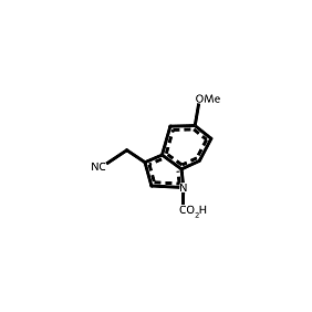 COc1ccc2c(c1)c(CC#N)cn2C(=O)O